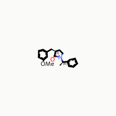 COc1cccc(C[C@H]2CCN([C@H](C)c3ccccc3)C2=O)c1